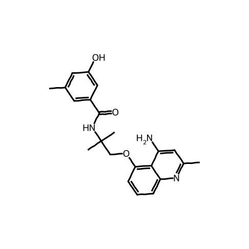 Cc1cc(O)cc(C(=O)NC(C)(C)COc2cccc3nc(C)cc(N)c23)c1